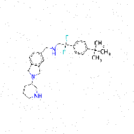 CC(C)(C)c1ccc(C(F)(F)CNCc2ccc3c(c2)CN(C2CCCNC2)C3)cc1